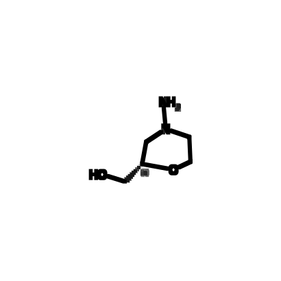 NN1CCO[C@H](CO)C1